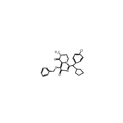 CN1CCn2c(C(c3ccc(Cl)cc3)C3CCCC3)nc(=O)c(OCc3ccccc3)c2C1=O